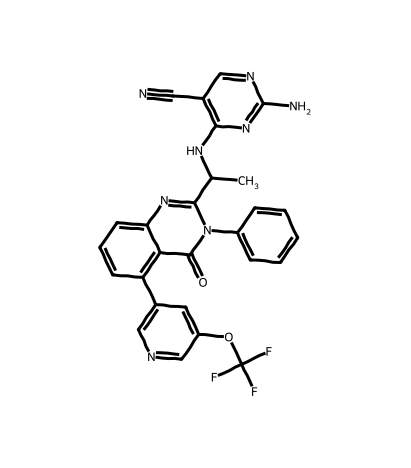 CC(Nc1nc(N)ncc1C#N)c1nc2cccc(-c3cncc(OC(F)(F)F)c3)c2c(=O)n1-c1ccccc1